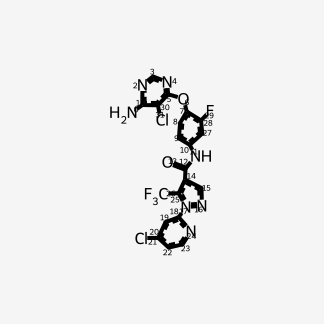 Nc1ncnc(Oc2ccc(NC(=O)c3cnn(-c4cc(Cl)ccn4)c3C(F)(F)F)cc2F)c1Cl